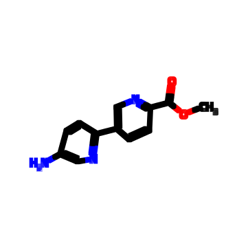 COC(=O)c1ccc(-c2ccc(N)cn2)cn1